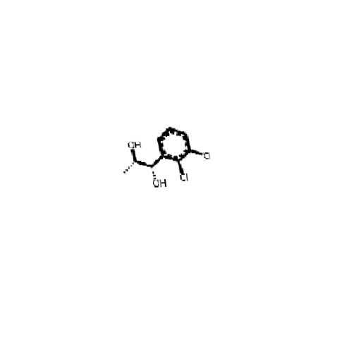 C[C@H](O)[C@@H](O)c1cccc(Cl)c1Cl